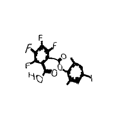 Cc1cc(I)cc(C)c1OC(=O)c1c(F)c(F)c(F)c(F)c1C(=O)O